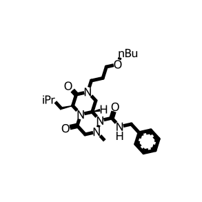 CCCCOCCCN1C[C@H]2N(C(=O)CN(C)N2C(=O)NCc2ccccc2)[C@@H](CC(C)C)C1=O